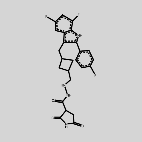 O=C1CC(C(=O)NNCC2CC(Cc3c(-c4ccc(F)cc4)[nH]c4c(F)cc(F)cc34)C2)C(=O)N1